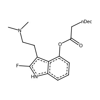 CCCCCCCCCCCC(=O)Oc1cccc2[nH]c(F)c(CCN(C)C)c12